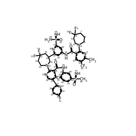 Cc1nc(N2CCCC(F)(F)CC2)c(C(=O)Nc2cc(C3CN(c4ncc(-c5ccc(F)cn5)c(C)c4C(=O)Nc4cccc(S(C)(=N)=O)c4)CCC(F)(F)C3)nc(S(=N)(N)=O)c2)cc1C(F)(F)F